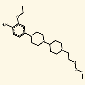 CCOc1cc(N2CCN(C3CCN(CCSOOC)CC3)CC2)ccc1N